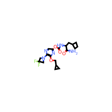 NC(=O)C(CC1CCC1)NC(=O)Oc1cnc(N2CC(F)(F)C2)c(OCC2CC2)n1